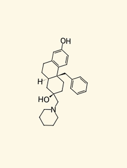 Oc1ccc2c(c1)CC[C@@H]1C[C@@](O)(CN3CCCCC3)CC[C@@]21Cc1ccccc1